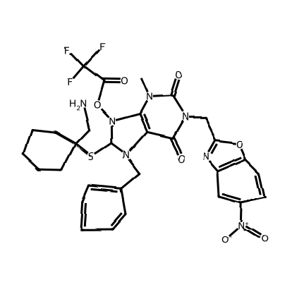 Cn1c2c(c(=O)n(Cc3nc4cc([N+](=O)[O-])ccc4o3)c1=O)N(Cc1ccccc1)C(SC1(CN)CCCCC1)N2OC(=O)C(F)(F)F